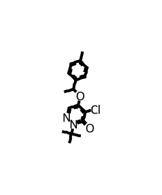 Cc1ccc(C(C)Oc2cnn(C(C)(C)C)c(=O)c2Cl)cc1